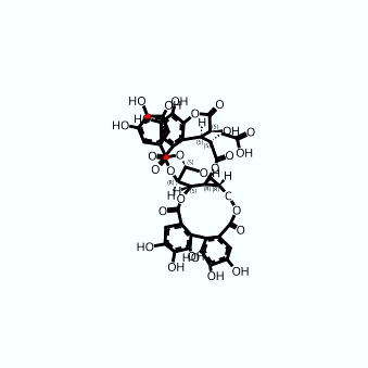 O=C(O)C[C@@H]1C(=O)O[C@H]2[C@@H]3OC(=O)c4cc(O)c(O)c(O)c4-c4c(cc(O)c(O)c4O)C(=O)OC[C@H]2O[C@@H](OC(=O)c2cc(O)c(O)c(O)c2)[C@@H]3OC(=O)c2cc(O)c(O)c3c2[C@H]1[C@H](O)C(=O)O3